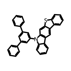 c1ccc(-c2cc(-c3ccccc3)cc(-n3c4ccccc4c4cc5c(cc43)sc3ccccc35)c2)cc1